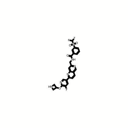 O=C(NCc1cc2nc(-c3cnc(OC4CNC4)c(F)c3)ccc2cn1)c1cccc(S(=O)(=O)C(F)F)c1